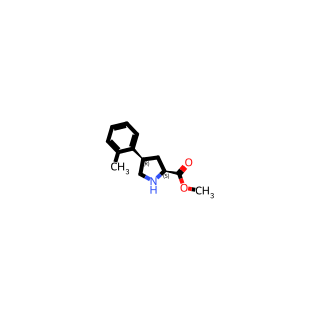 COC(=O)[C@@H]1C[C@H](c2ccccc2C)CN1